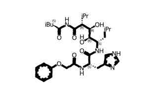 CC[C@H](C)C(=O)NC(=O)[C@H](C(C)C)[C@@H](O)[C@H](O)[C@H](CC(C)C)NC(=O)[C@H](Cc1c[nH]cn1)NC(=O)COc1ccccc1